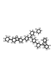 c1ccc(-c2cccc(N(c3ccc(-c4cccc(-n5c6ccccc6c6ccccc65)c4)cc3)c3ccc(-c4ccc5c(c4)oc4cc(-c6ccccc6)ccc45)cc3)c2)cc1